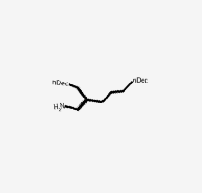 CCCCCCCCCCCCCC(CN)CCCCCCCCCCC